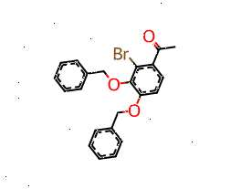 CC(=O)c1ccc(OCc2ccccc2)c(OCc2ccccc2)c1Br